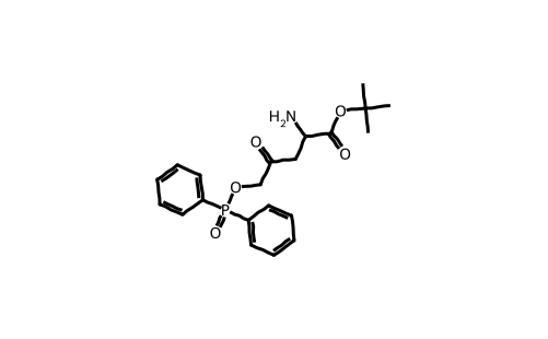 CC(C)(C)OC(=O)C(N)CC(=O)COP(=O)(c1ccccc1)c1ccccc1